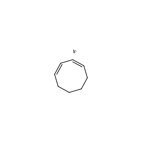 C1=CCCCCC=C1.[Ir]